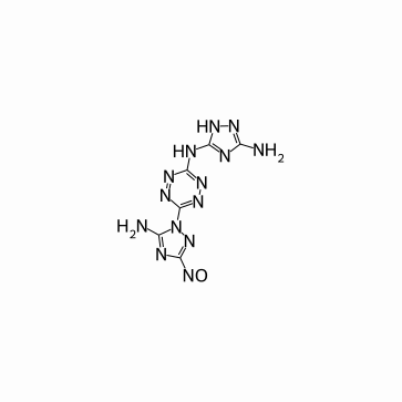 Nc1n[nH]c(Nc2nnc(-n3nc(N=O)nc3N)nn2)n1